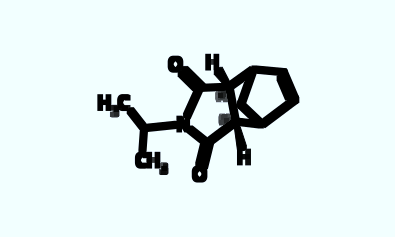 CC(C)N1C(=O)[C@@H]2C3C=CC(C3)[C@@H]2C1=O